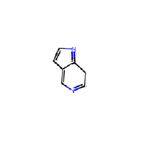 [C]1=NC=C2C=CN=C2C1